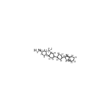 CC1(C)c2cc(N)ccc2-c2ccc(-c3ccc(-c4cn5ccccc5n4)cc3)cc21